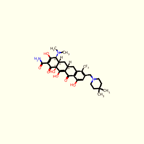 CN(C)[C@@H]1C(O)=C(C(N)=O)C(=O)[C@@]2(O)C(O)=C3C(=O)c4c(O)cc(CN5CCC(C)(C)CC5)c(C(F)(F)F)c4C[C@H]3C[C@@H]12